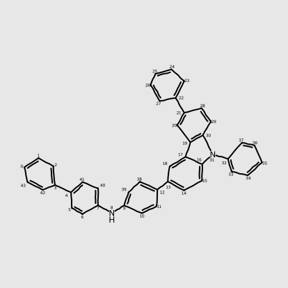 c1ccc(-c2ccc(Nc3ccc(-c4ccc5c(c4)c4cc(-c6ccccc6)ccc4n5-c4ccccc4)cc3)cc2)cc1